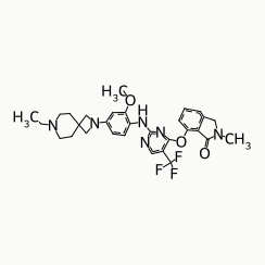 CCN1CCC2(CC1)CN(c1ccc(Nc3ncc(C(F)(F)F)c(Oc4cccc5c4C(=O)N(C)C5)n3)c(OC)c1)C2